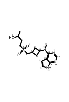 CC(O)CCS(=O)(=O)CC1CC(N(C)c2ncnc3[nH]ccc23)C1